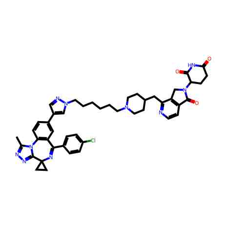 Cc1nnc2n1-c1ccc(-c3cnn(CCCCCCN4CCC(Cc5nccc6c5CN(C5CCC(=O)NC5=O)C6=O)CC4)c3)cc1C(c1ccc(Cl)cc1)=NC21CC1